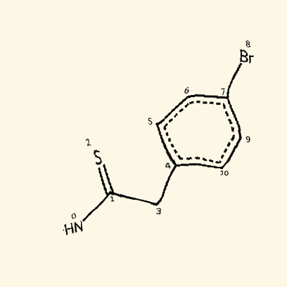 [NH]C(=S)Cc1ccc(Br)cc1